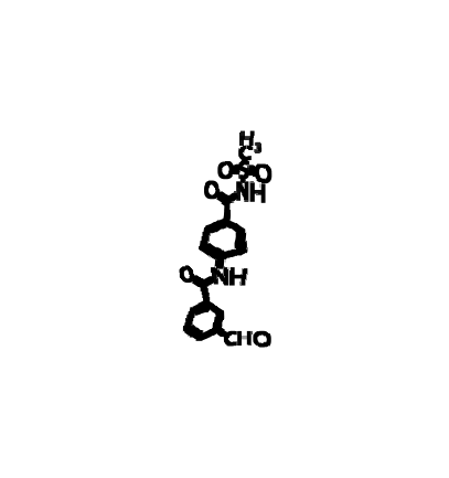 CS(=O)(=O)NC(=O)c1ccc(NC(=O)c2cccc(C=O)c2)cc1